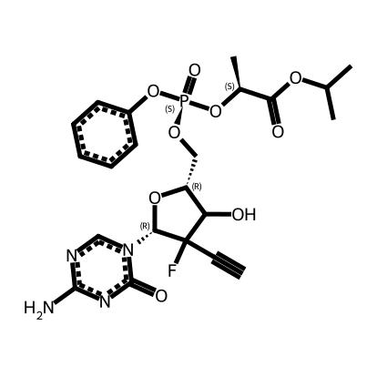 C#CC1(F)C(O)[C@@H](CO[P@](=O)(Oc2ccccc2)O[C@@H](C)C(=O)OC(C)C)O[C@H]1n1cnc(N)nc1=O